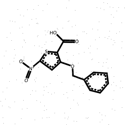 O=C(O)c1sc([N+](=O)[O-])cc1OCc1ccccc1